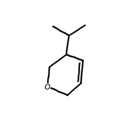 CC(C)C1C=CCOC1